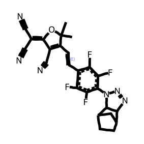 CC1(C)OC(=C(C#N)C#N)C(C#N)=C1/C=C/c1c(F)c(F)c(N2N=NC3C4CCC(C4)C32)c(F)c1F